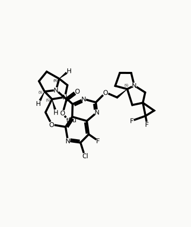 CC(C)(C)OC(=O)N1[C@@H]2CC[C@H]1[C@H]1COc3nc(Cl)c(F)c4nc(OC[C@@]56CCCN5CC5(CC5(F)F)C6)nc(c34)N1C2